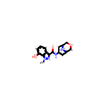 CC(C)n1nc(C(=O)NC2CC3COCC(C2)N3)c2cccc(O)c21